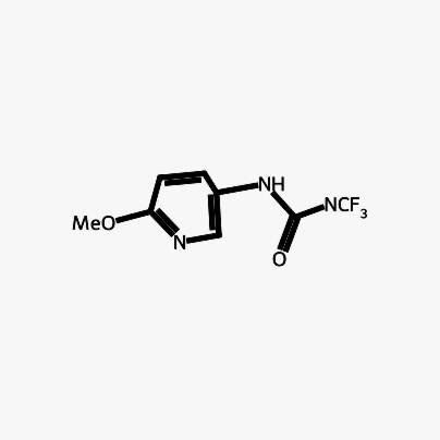 COc1ccc(NC(=O)NC(F)(F)F)cn1